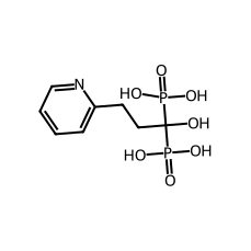 O=P(O)(O)C(O)(CCc1ccccn1)P(=O)(O)O